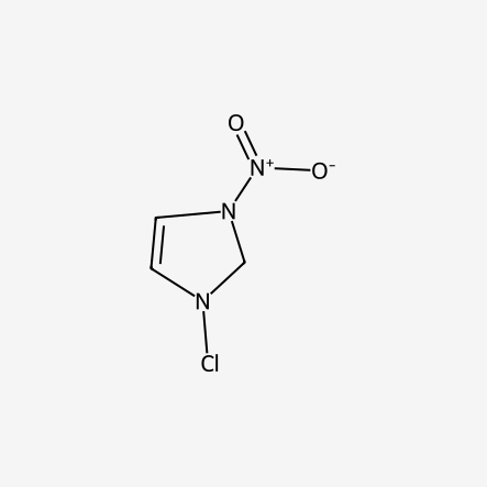 O=[N+]([O-])N1C=CN(Cl)C1